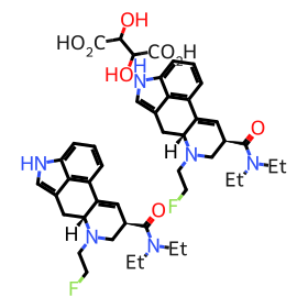 CCN(CC)C(=O)[C@@H]1C=C2c3cccc4[nH]cc(c34)C[C@H]2N(CCF)C1.CCN(CC)C(=O)[C@@H]1C=C2c3cccc4[nH]cc(c34)C[C@H]2N(CCF)C1.O=C(O)C(O)C(O)C(=O)O